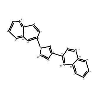 c1cnc2ccc(-n3cc(-c4cnc5ccccc5n4)cn3)cc2c1